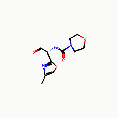 Cc1csc([C@H](C=O)NC(=O)N2CCOCC2)n1